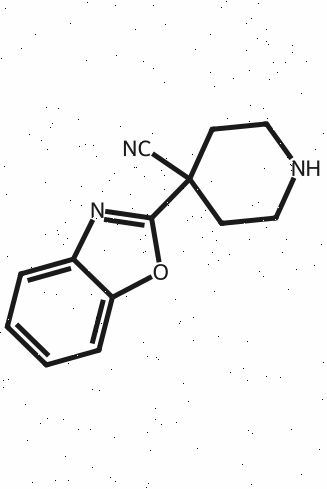 N#CC1(c2nc3ccccc3o2)CCNCC1